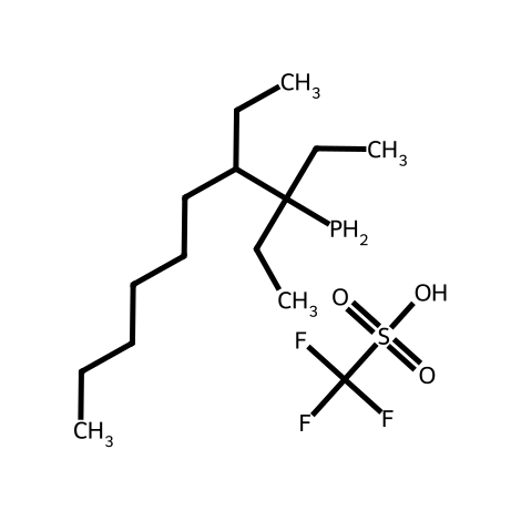 CCCCCCC(CC)C(P)(CC)CC.O=S(=O)(O)C(F)(F)F